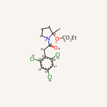 CCOC(=O)OC1(C)CCCN1C(=O)Cc1c(Cl)cc(Cl)cc1Cl